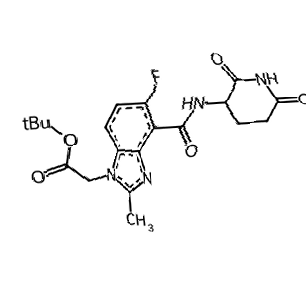 Cc1nc2c(C(=O)NC3CCC(=O)NC3=O)c(F)ccc2n1CC(=O)OC(C)(C)C